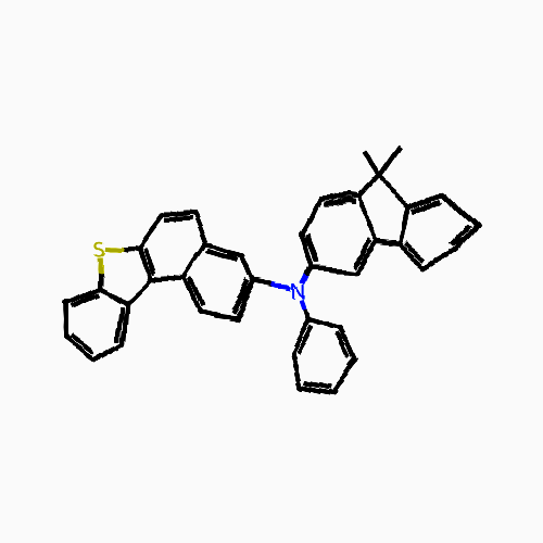 CC1(C)c2ccccc2-c2cc(N(c3ccccc3)c3ccc4c(ccc5sc6ccccc6c54)c3)ccc21